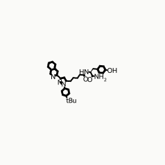 CC(C)(C)c1ccc(-n2nc(-c3cc4ccccc4cn3)cc2CCCCC(=O)N[C@@H](Cc2ccc(O)cc2)C(N)=O)cc1